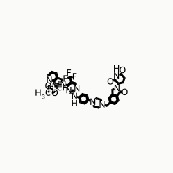 CN(c1ncccc1CNc1nc(Nc2ccc(N3CCN(Cc4ccc5c(c4)CN(C4CCC(=O)NC4=O)C5=O)CC3)cc2)ncc1C(F)(F)F)S(C)(=O)=O